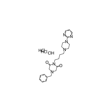 Cl.Cl.Cl.O=C1CN(Cc2ccccc2)CC(=O)N1CCCCN1CCN(c2ncccn2)CC1